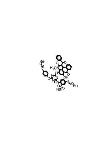 Cn1c(=O)c(C(=O)c2ccccc2)c2c3c(c(Nc4cc(Nc5nc(Cl)nc(Oc6ccc(SOOO)cc6)n5)c(S(=O)(=O)O)cc4SOOO)ccc31)C(=O)c1ccccc1-2